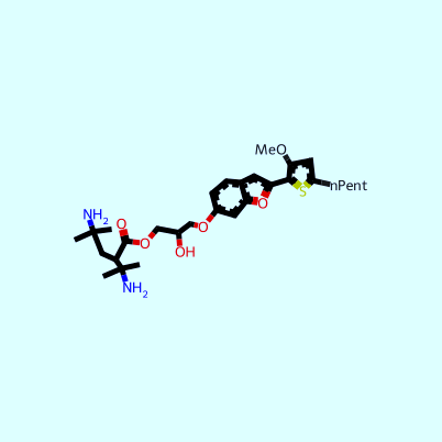 CCCCCc1cc(OC)c(-c2cc3ccc(OCC(O)COC(=O)C(CC(C)(C)N)C(C)(C)N)cc3o2)s1